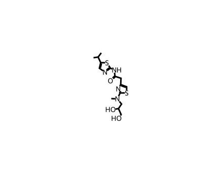 CC(C)c1cnc(NC(=O)Cc2csc(N(C)CC(O)CO)n2)s1